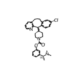 C[C@@H](c1cccc(OC(=O)N2CCC(=C3c4ccc(Cl)cc4CCc4cccnc43)CC2)c1)N(C)C